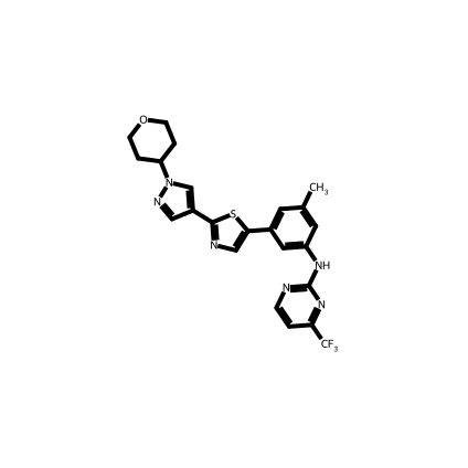 Cc1cc(Nc2nccc(C(F)(F)F)n2)cc(-c2cnc(-c3cnn(C4CCOCC4)c3)s2)c1